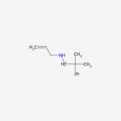 C=CC[NH][Hf][C](C)(C)C(C)C